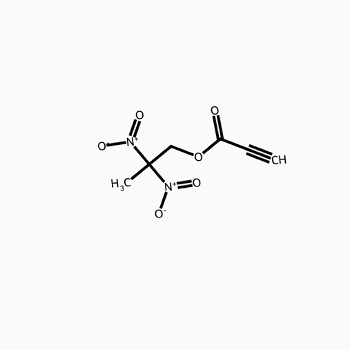 C#CC(=O)OCC(C)([N+](=O)[O-])[N+](=O)[O-]